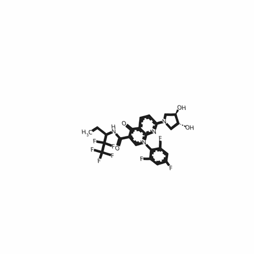 CCC(NC(=O)c1cn(-c2c(F)cc(F)cc2F)c2nc(N3C[C@@H](O)[C@H](O)C3)ccc2c1=O)C(F)(F)C(F)(F)F